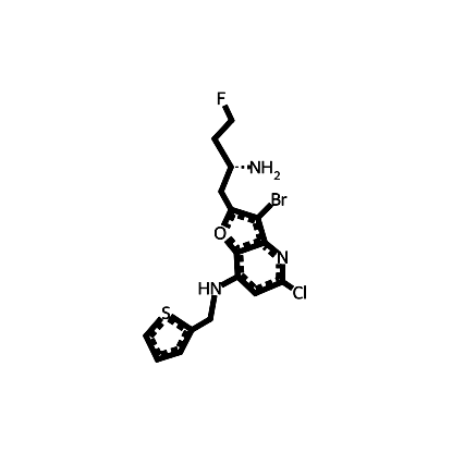 N[C@@H](CCF)Cc1oc2c(NCc3cccs3)cc(Cl)nc2c1Br